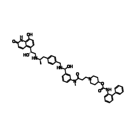 C[C@H](Cc1ccc(CNC(O)c2cccc(N(C)C(=O)CCN3CCC(OC(=O)Nc4ccccc4-c4ccccc4)CC3)c2)cc1)NC[C@H](O)c1ccc(O)c2[nH]c(=O)ccc12